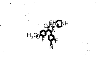 COc1ccc(-c2c(-c3ccc(C#N)c(F)c3)nc(N3CCCNCC3)n(C)c2=O)cc1F